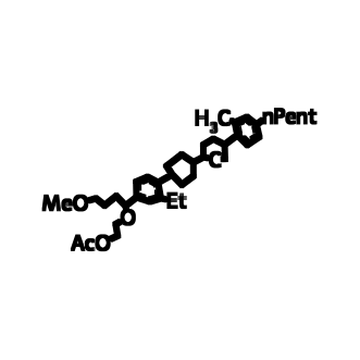 CCCCCc1ccc(C2CCC(C3CCC(c4ccc(C(CCCOC)OCCOC(C)=O)cc4CC)CC3)CC2)c(C)c1